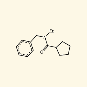 [CH2]CN(Cc1ccccc1)C(=O)C1CCCC1